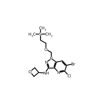 C[Si](C)(C)CCOCn1nc(NC2COC2)c2nc(Cl)c(Br)cc21